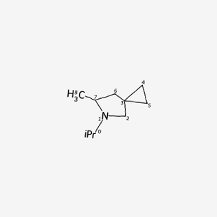 CC(C)N1CC2(CC2)CC1C